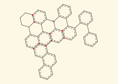 c1ccc(-c2ccccc2-c2ccccc2-c2ccccc2N(c2cccc(-c3cccc4c3ccc3ccccc34)c2)c2ccccc2-c2cccc3cccc(C4CCCCC4)c23)cc1